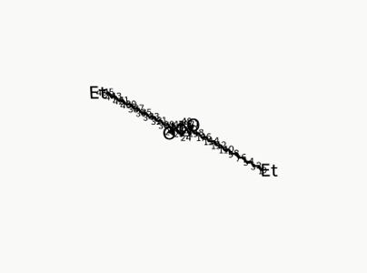 CCC=CCC=CCC=CCC=CCC=CCC=CCCC(=O)N1[C@H](C)CN(C(=O)CCCC=CCC=CCC=CCC=CCC=CCC)C[C@@H]1C